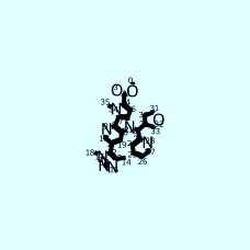 COC(=O)c1cc2c(c3ncc(-c4c(C)nnn4C)cc3n2C(c2ccccn2)C2CCOC2)n1C